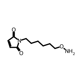 NOCCCCCCN1C(=O)C=CC1=O